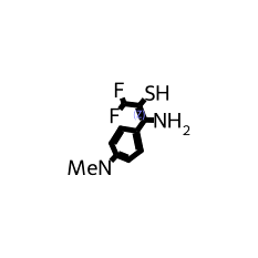 CNc1ccc(/C(N)=C(/S)C(F)F)cc1